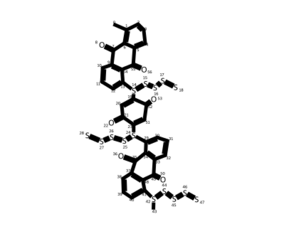 Cc1cccc2c1C(=O)c1cccc(S(=S=S=S=S)C3=CC(=O)C(S(=S=S=S=S)c4cccc5c4C(=O)c4cccc(S(C)=S=S=S=S)c4C5=O)=CC3=O)c1C2=O